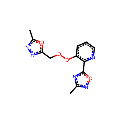 Cc1noc(-c2ncccc2OOCc2nnc(C)o2)n1